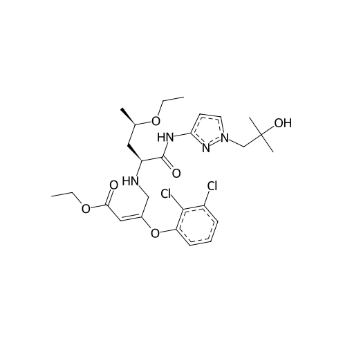 CCOC(=O)C=C(CN[C@@H](C[C@@H](C)OCC)C(=O)Nc1ccn(CC(C)(C)O)n1)Oc1cccc(Cl)c1Cl